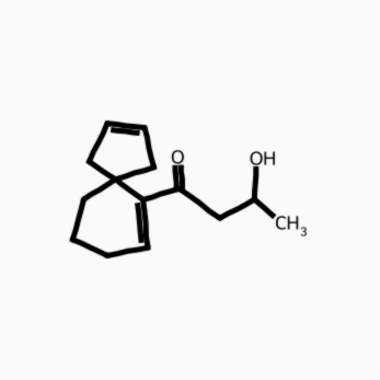 CC(O)CC(=O)C1=CCCCC12CC=CC2